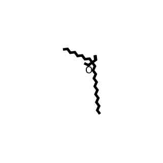 C=CC(CCCCCCCC)(CCCCCCCCCCCCC)C(C)=O